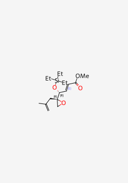 C=C(C)C[C@]1([C@@H](/C=C/C(=O)OC)O[Si](CC)(CC)CC)CO1